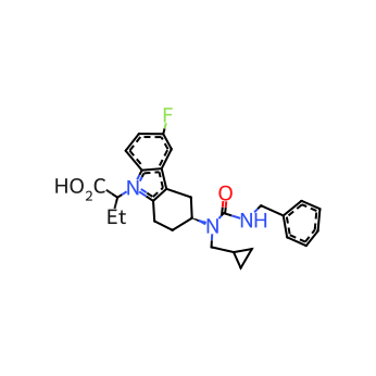 CCC(C(=O)O)n1c2c(c3cc(F)ccc31)C[C@@H](N(CC1CC1)C(=O)NCc1ccccc1)CC2